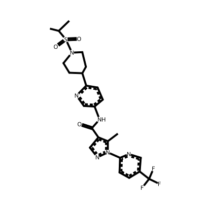 Cc1c(C(=O)Nc2ccc(C3CCN(S(=O)(=O)C(C)C)CC3)nc2)cnn1-c1ccc(C(F)(F)F)cn1